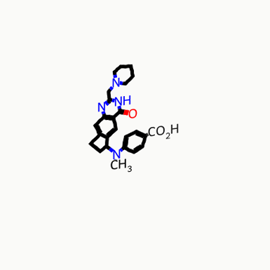 CN(c1ccc(C(=O)O)cc1)C1CCc2cc3nc(CN4CCCCC4)[nH]c(=O)c3cc21